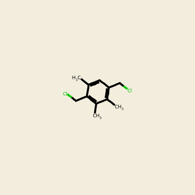 Cc1cc(CCl)c(C)c(C)c1CCl